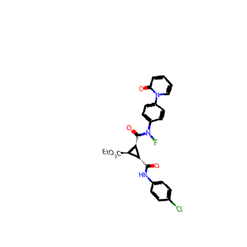 CCOC(=O)[C@@H]1[C@@H](C(=O)Nc2ccc(Cl)cc2)[C@H]1C(=O)N(F)c1ccc(-n2ccccc2=O)cc1